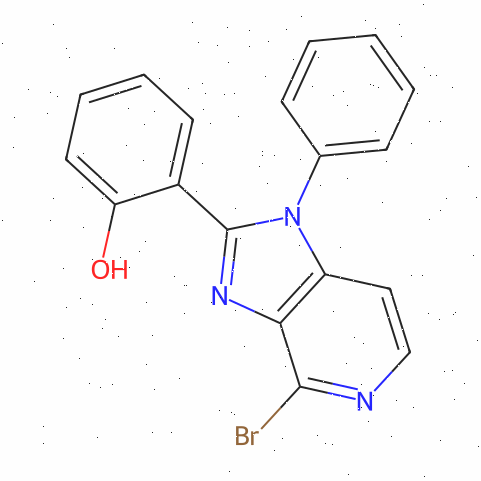 Oc1ccccc1-c1nc2c(Br)nccc2n1-c1ccccc1